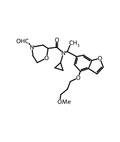 COCCCOc1cc(C(C)N(C(=O)C2CN(C=O)CCO2)C2CC2)cc2occc12